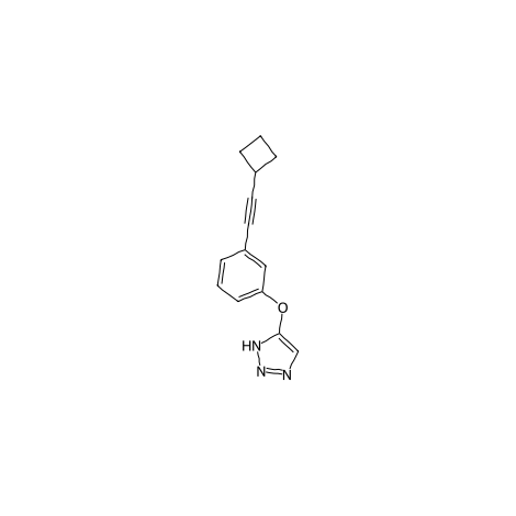 C(#CC1CCC1)c1cccc(Oc2cnn[nH]2)c1